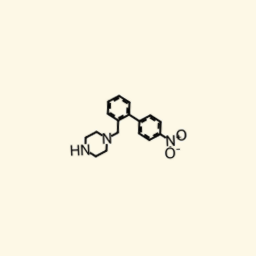 O=[N+]([O-])c1ccc(-c2ccccc2CN2CCNCC2)cc1